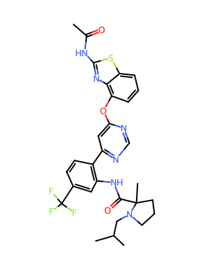 CC(=O)Nc1nc2c(Oc3cc(-c4ccc(C(F)(F)F)cc4NC(=O)C4(C)CCCN4CC(C)C)ncn3)cccc2s1